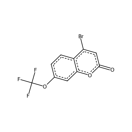 O=c1cc(Br)c2ccc(OC(F)(F)F)cc2o1